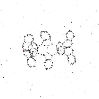 c1ccc2c(c1)N(c1ccc3ccc4ccccc4c3c1)C(C1N(c3ccc4ccc5ccccc5c4c3)c3ccccc3N1c1ccc3ccc4ccccc4c3c1)N2c1ccc2ccc3ccccc3c2c1